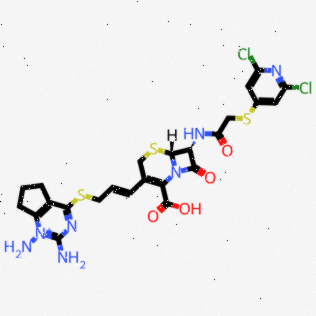 Nc1nc(SC/C=C/C2=C(C(=O)O)N3C(=O)[C@@H](NC(=O)CSc4cc(Cl)nc(Cl)c4)[C@H]3SC2)c2c([n+]1N)CCC2